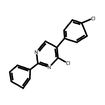 Clc1ccc(-c2cnc(-c3ccccc3)nc2Cl)cc1